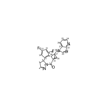 O=C(N1N=CCC1c1cc(F)cc(F)c1)C12CC(Cn3cnc4ncccc43)(C1)C2